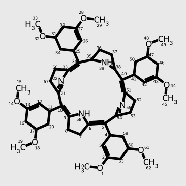 COC1=CC(/C2=C3\CC/C(=C(\C4C=C(OC)CC(OC)C4)C4=N/C(=C(/C5C=C(OC)CC(OC)C5)C5CCC(N5)/C(C5C=C(OC)CC(OC)C5)=C5/CCC2=N5)CC4)N3)CC(OC)C1